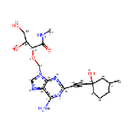 CCNC(=O)[C@@H](OCn1cnc2c(N)nc(C#CC3(O)CCCC(C)C3)nc21)C(O)CO